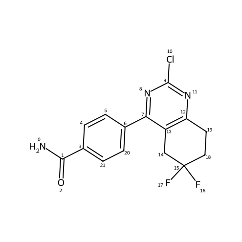 NC(=O)c1ccc(-c2nc(Cl)nc3c2CC(F)(F)CC3)cc1